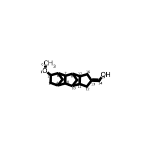 COC1CC2CC1C1C3CC(C4C/C(=C/O)CC43)C21